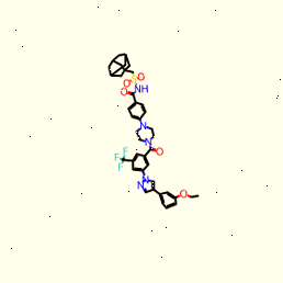 CCOc1cccc(-c2cnn(-c3cc(C(=O)N4CCN(c5ccc(C(=O)NS(=O)(=O)CC67CC8CC(CC(C8)C6)C7)cc5)CC4)cc(C(F)(F)F)c3)c2)c1